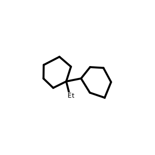 CCC1([C]2CCCCC2)CCCCC1